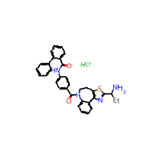 CCC(N)c1nc2c(s1)CCN(C(=O)c1ccc(NC(=O)c3ccccc3-c3ccccc3)cc1)c1ccccc1-2.Cl